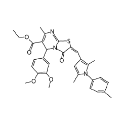 CCOC(=O)C1=C(C)N=c2s/c(=C/c3cc(C)n(-c4ccc(C)cc4)c3C)c(=O)n2C1c1ccc(OC)c(OC)c1